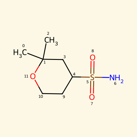 CC1(C)CC(S(N)(=O)=O)CCO1